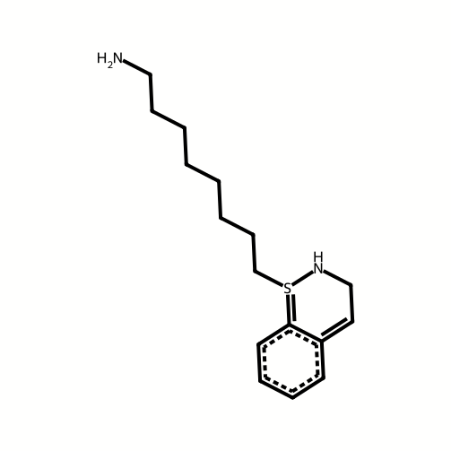 NCCCCCCCCS1=c2ccccc2=CCN1